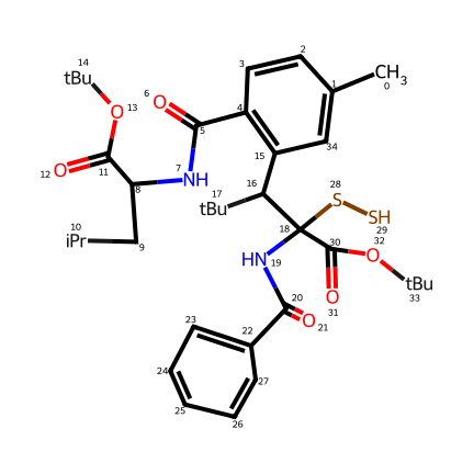 Cc1ccc(C(=O)NC(CC(C)C)C(=O)OC(C)(C)C)c(C(C(C)(C)C)C(NC(=O)c2ccccc2)(SS)C(=O)OC(C)(C)C)c1